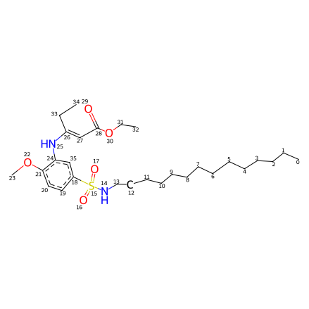 CCCCCCCCCCCCCCNS(=O)(=O)c1ccc(OC)c(NC(=CC(=O)OCC)CC)c1